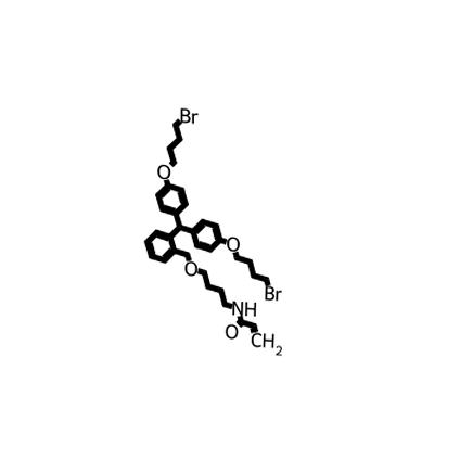 C=CC(=O)NCCCCOCc1ccccc1C(c1ccc(OCCCCBr)cc1)c1ccc(OCCCCBr)cc1